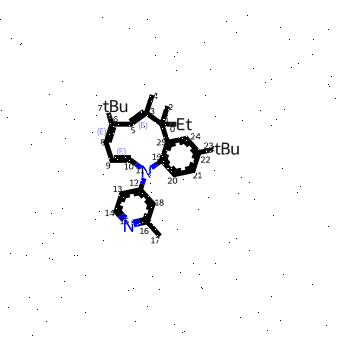 CCC1(C)/C(C)=C/C(C(C)(C)C)=C\C=C\N(c2ccnc(C)c2)c2ccc(C(C)(C)C)cc21